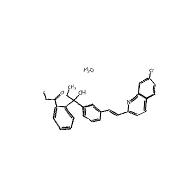 CCC(O)(c1cccc(C=Cc2ccc3ccc(Cl)cc3n2)c1)c1ccccc1C(=O)CI.O